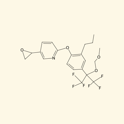 CCCc1cc(C(OCOC)(C(F)(F)F)C(F)(F)F)ccc1Oc1ccc(C2CO2)cn1